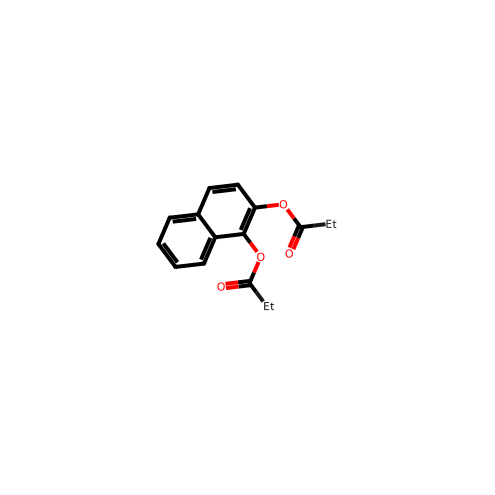 CCC(=O)Oc1ccc2ccccc2c1OC(=O)CC